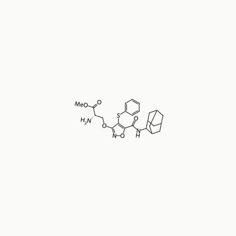 COC(=O)[C@@H](N)COc1noc(C(=O)NC2C3CC4CC(C3)CC2C4)c1Sc1ccccc1